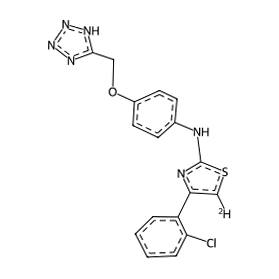 [2H]c1sc(Nc2ccc(OCc3nnn[nH]3)cc2)nc1-c1ccccc1Cl